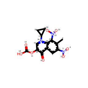 Cc1c([N+](=O)[O-])cc2c(=O)c(OC(=O)O)cn(C3CC3)c2c1[N+](=O)[O-]